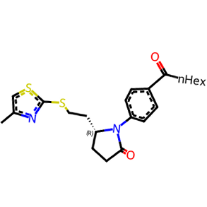 CCCCCCC(=O)c1ccc(N2C(=O)CC[C@@H]2CCSc2nc(C)cs2)cc1